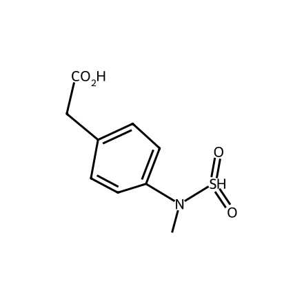 CN(c1ccc(CC(=O)O)cc1)[SH](=O)=O